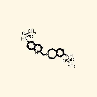 CS(=O)(=O)Nc1ccc2c(c1)CCN(Cc1ccc3cc(NS(C)(=O)=O)ccc3n1)CC2